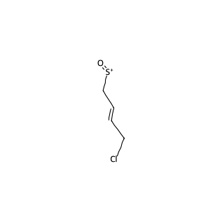 O=[S+]C/C=C/CCl